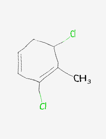 CC1=C(Cl)C=CCC1Cl